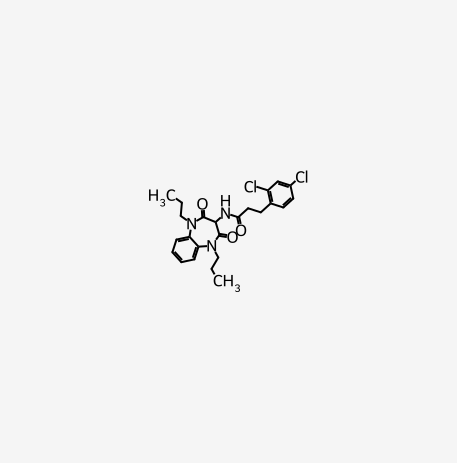 CCCN1C(=O)C(NC(=O)CCc2ccc(Cl)cc2Cl)C(=O)N(CCC)c2ccccc21